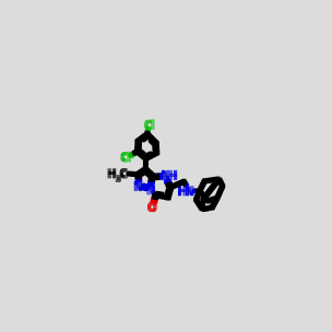 Cc1nn2c(=O)cc(CNC34CC5CC(CC(C5)C3)C4)[nH]c2c1-c1ccc(Cl)cc1Cl